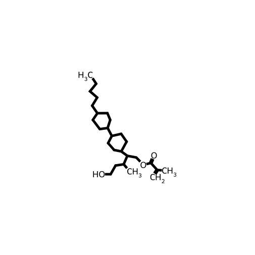 C=C(C)C(=O)OCC(C(C)CCO)C1CCC(C2CCC(CCCCC)CC2)CC1